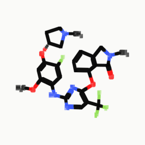 COc1cc(O[C@@H]2CCN(C)C2)c(F)cc1Nc1ncc(C(F)(F)F)c(Oc2cccc3c2C(=O)N(C)C3)n1